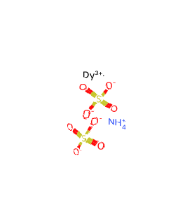 O=S(=O)([O-])[O-].O=S(=O)([O-])[O-].[Dy+3].[NH4+]